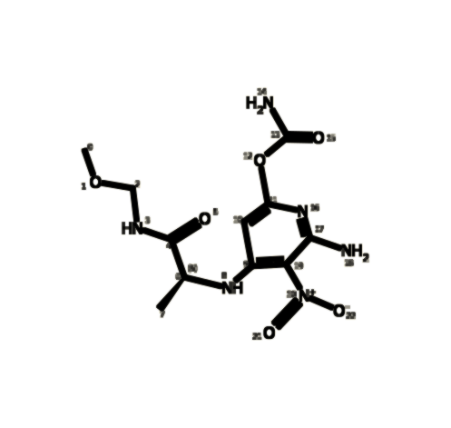 COCNC(=O)[C@H](C)Nc1cc(OC(N)=O)nc(N)c1[N+](=O)[O-]